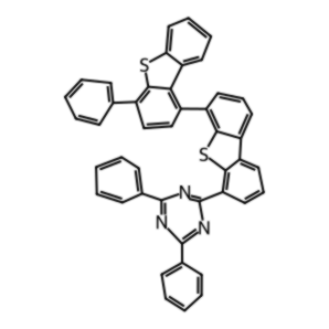 c1ccc(-c2nc(-c3ccccc3)nc(-c3cccc4c3sc3c(-c5ccc(-c6ccccc6)c6sc7ccccc7c56)cccc34)n2)cc1